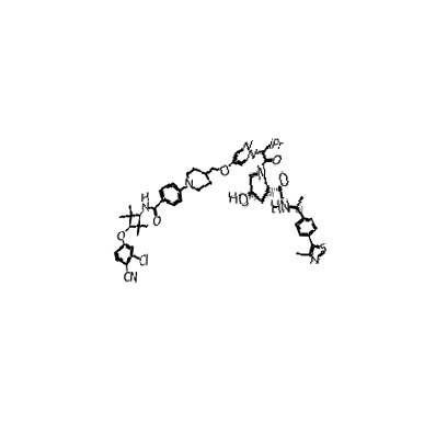 Cc1ncsc1-c1ccc([C@H](C)NC(=O)[C@@H]2C[C@@H](O)CN2C(=O)C(C(C)C)n2cc(OCC3CCN(c4ccc(C(=O)N[C@H]5C(C)(C)[C@H](Oc6ccc(C#N)c(Cl)c6)C5(C)C)cc4)CC3)cn2)cc1